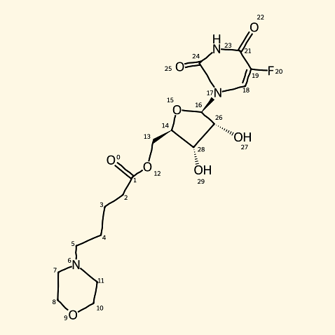 O=C(CCCCN1CCOCC1)OC[C@H]1O[C@@H](n2cc(F)c(=O)[nH]c2=O)[C@H](O)[C@@H]1O